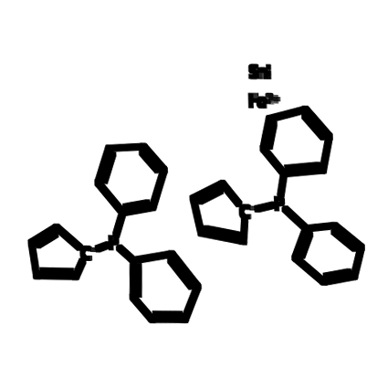 [Fe+2].[Sn].c1ccc(P(c2ccccc2)[c-]2cccc2)cc1.c1ccc(P(c2ccccc2)[c-]2cccc2)cc1